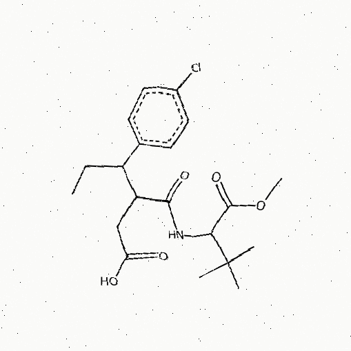 CCC(c1ccc(Cl)cc1)C(CC(=O)O)C(=O)NC(C(=O)OC)C(C)(C)C